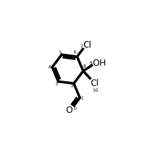 O=CC1C=CC=C(Cl)C1(O)Cl